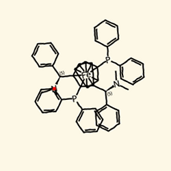 CN(C)[C@@H](c1ccccc1)[C]12[CH]3[CH]4[C]5([C@H](c6ccccc6)N(C)C)[C]1(P(c1ccccc1)c1ccccc1)[Fe]34251678[CH]2[CH]1[CH]6[C]7(P(c1ccccc1)c1ccccc1)[CH]28